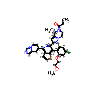 C=CC(=O)N1CCn2nc(-c3nc(-c4ccn5cncc5c4)c4ccsc4c3-c3c(F)cc(F)cc3OCCOC)cc2[C@H]1C